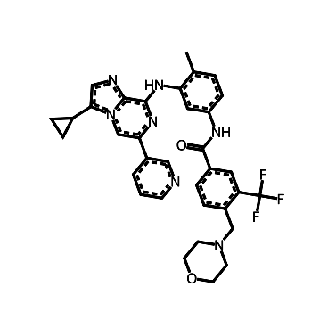 Cc1ccc(NC(=O)c2ccc(CN3CCOCC3)c(C(F)(F)F)c2)cc1Nc1nc(-c2cccnc2)cn2c(C3CC3)cnc12